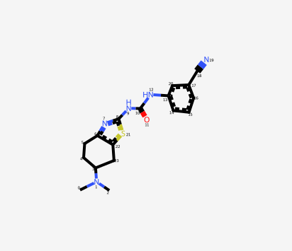 CN(C)C1CCc2nc(NC(=O)Nc3cccc(C#N)c3)sc2C1